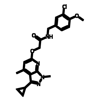 COc1ccc(CNC(=O)COc2cc(C)c3c(C4CC4)nn(C)c3n2)cc1Cl